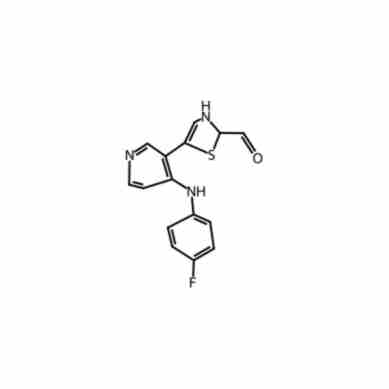 O=CC1NC=C(c2cnccc2Nc2ccc(F)cc2)S1